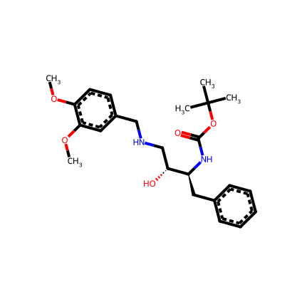 COc1ccc(CNC[C@@H](O)[C@H](Cc2ccccc2)NC(=O)OC(C)(C)C)cc1OC